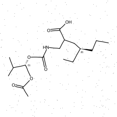 CCC[C@@H](CC)CC(CNC(=O)O[C@H](OC(C)=O)C(C)C)C(=O)O